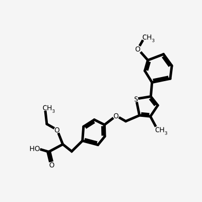 CCOC(Cc1ccc(OCc2sc(-c3cccc(OC)c3)cc2C)cc1)C(=O)O